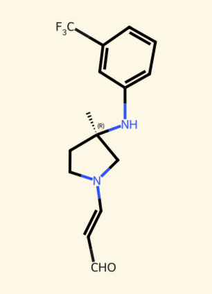 C[C@@]1(Nc2cccc(C(F)(F)F)c2)CCN(C=CC=O)C1